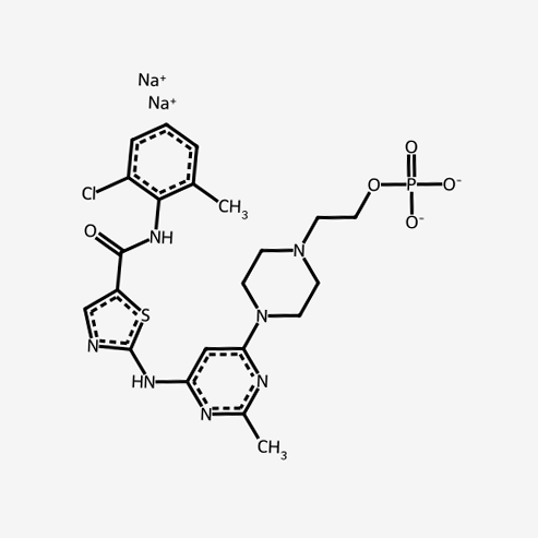 Cc1nc(Nc2ncc(C(=O)Nc3c(C)cccc3Cl)s2)cc(N2CCN(CCOP(=O)([O-])[O-])CC2)n1.[Na+].[Na+]